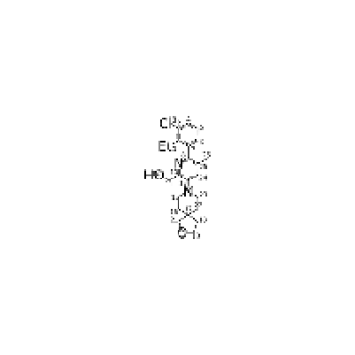 CCc1c(Cl)cccc1-c1nc(CO)c(N2CCC3(CCOC3)CC2)cc1C